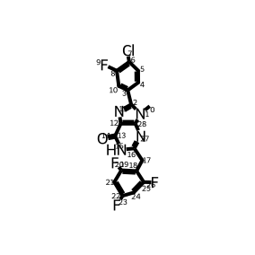 Cn1c(-c2ccc(Cl)c(F)c2)nc2c(=O)[nH]c(Cc3c(F)cc(F)cc3F)nc21